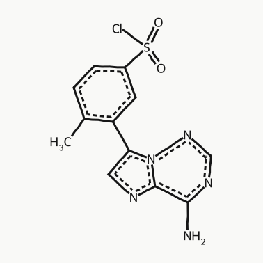 Cc1ccc(S(=O)(=O)Cl)cc1-c1cnc2c(N)ncnn12